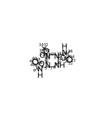 C[C@H](NC(=O)CN1CCNCCN(CC(=O)N[C@@H](C)c2ccccc2)CCN(C(=O)OC(C)(C)C)CC1)c1ccccc1